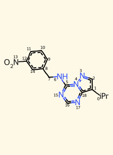 CC(C)c1cnn2c(NCc3cccc([N+](=O)[O-])c3)ncnc12